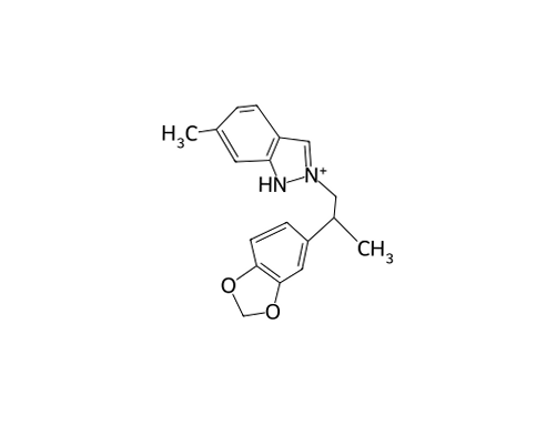 Cc1ccc2c[n+](CC(C)c3ccc4c(c3)OCO4)[nH]c2c1